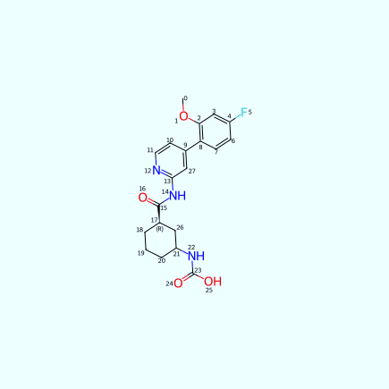 COc1cc(F)ccc1-c1ccnc(NC(=O)[C@@H]2CCCC(NC(=O)O)C2)c1